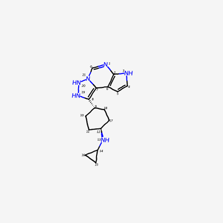 C1=Nc2[nH]ccc2C2=C([C@H]3CC[C@H](NC4CC4)CC3)NNN12